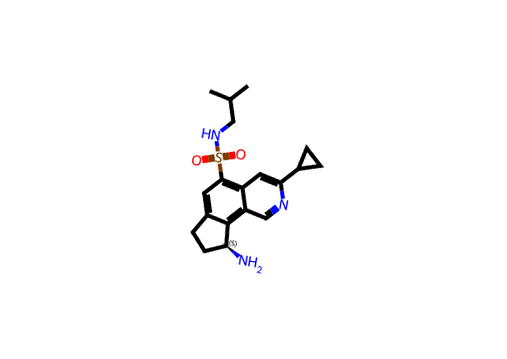 CC(C)CNS(=O)(=O)c1cc2c(c3cnc(C4CC4)cc13)[C@@H](N)CC2